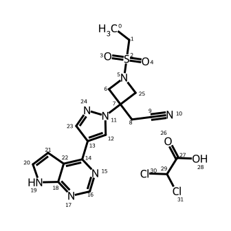 CCS(=O)(=O)N1CC(CC#N)(n2cc(-c3ncnc4[nH]ccc34)cn2)C1.O=C(O)C(Cl)Cl